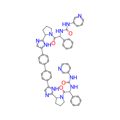 O=C(Nc1cccnc1)NC(C(=O)N1CCCC1c1ncc(-c2ccc(-c3ccc(-c4cnc(C5CCCN5C(=O)C(NC(=O)Nc5cccnc5)c5ccccc5)[nH]4)cc3)cc2)[nH]1)c1ccccc1